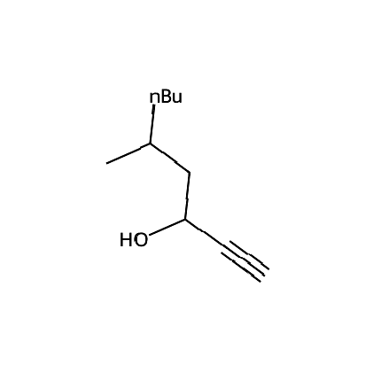 C#CC(O)CC(C)CCCC